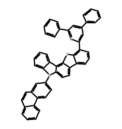 c1ccc(-c2cc(-c3ccccc3)nc(-c3cccc4c3sc3c4ccc4c3c3ccccc3n4-c3ccc4c(ccc5ccccc54)c3)c2)cc1